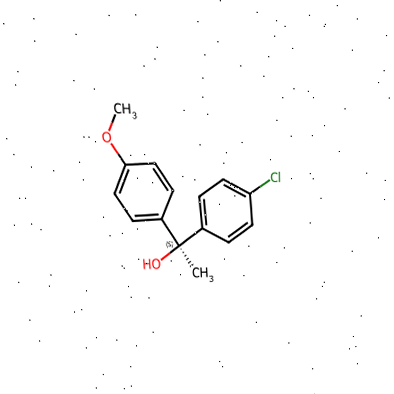 COc1ccc([C@](C)(O)c2ccc(Cl)cc2)cc1